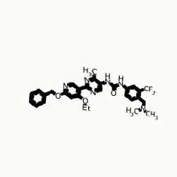 CCOc1cc(OCc2ccccc2)ncc1-c1ncc(NC(=O)Nc2ccc(CN(C)C)c(C(F)(F)F)c2)c(C)n1